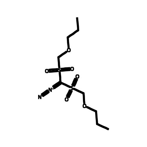 CCCOCS(=O)(=O)C(=[N+]=[N-])S(=O)(=O)COCCC